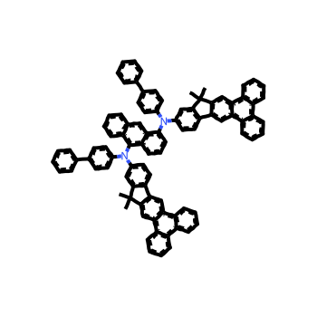 CC1(C)c2cc(N(c3ccc(-c4ccccc4)cc3)c3cccc4c(N(c5ccc(-c6ccccc6)cc5)c5ccc6c(c5)C(C)(C)c5cc7c8ccccc8c8ccccc8c7cc5-6)c5ccccc5cc34)ccc2-c2cc3c4ccccc4c4ccccc4c3cc21